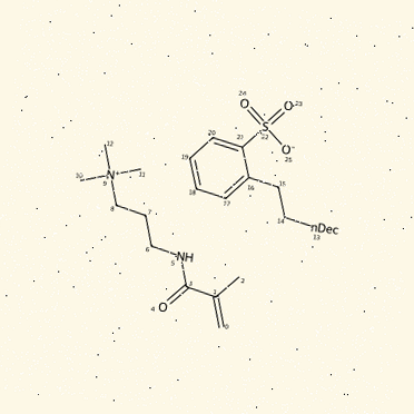 C=C(C)C(=O)NCCC[N+](C)(C)C.CCCCCCCCCCCCc1ccccc1S(=O)(=O)[O-]